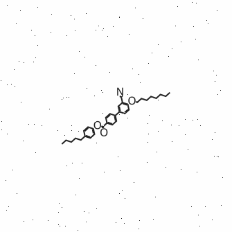 CCCCCCCCOc1ccc(-c2ccc(C(=O)Oc3ccc(CCCCC)cc3)cc2)cc1C#N